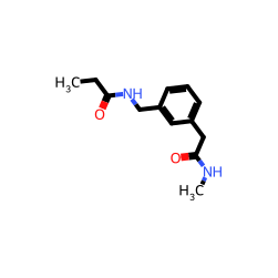 CCC(=O)NCc1cccc(CC(=O)NC)c1